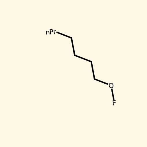 CCCCCCCOF